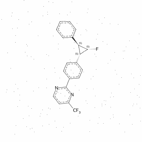 F[C@H]1[C@H](c2ccccc2)[C@H]1c1ccc(-c2nccc(C(F)(F)F)n2)cc1